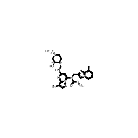 CCc1cnn2c(N(Cc3cn4cccc(C)c4n3)C(=O)OC(C)(C)C)cc(NC[C@H]3CCN(C(=O)O)C[C@@H]3O)nc12